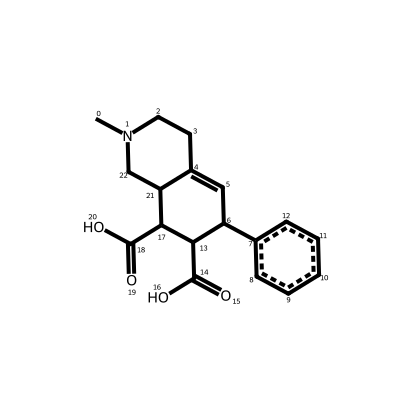 CN1CCC2=CC(c3ccccc3)C(C(=O)O)C(C(=O)O)C2C1